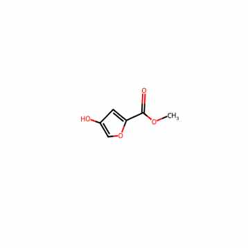 COC(=O)c1cc(O)co1